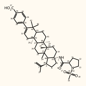 C=C(C)[C@@H]1CC[C@]2(NC(=O)C3CCCN3S(C)(=O)=O)CC[C@]3(C)C(C)(CCC4[C@@]5(C)CC=C(c6ccc(C(=O)O)cc6)C(C)(C)C5CC[C@]43C)C12